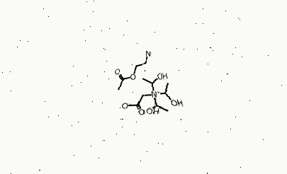 CC(=O)OCC[N].CC(O)[N+](CC(=O)[O-])(C(C)O)C(C)O